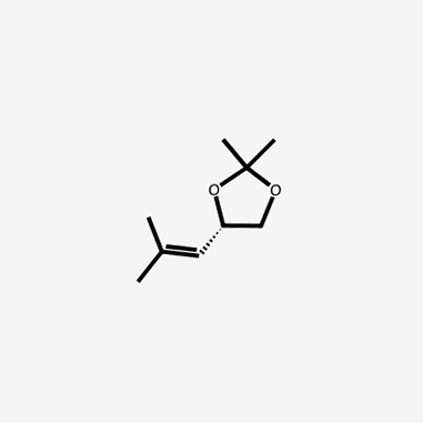 CC(C)=C[C@H]1COC(C)(C)O1